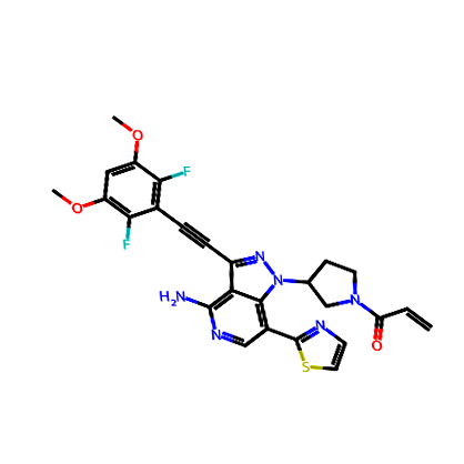 C=CC(=O)N1CCC(n2nc(C#Cc3c(F)c(OC)cc(OC)c3F)c3c(N)ncc(-c4nccs4)c32)C1